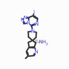 Cc1cnc2c(c1)CC1(CCN(c3ncc(I)c4nncn34)CC1)[C@@H]2N